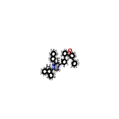 CCC1/C(c2cccc(-c3cccc4oc5ccc(-c6ccccc6)cc5c34)c2)=C(\C)CC/C(c2cc3ccccc3c3ccccc23)=N\C1c1ccc2ccccc2c1